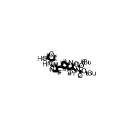 CC(C)c1c(CN(C(=O)OC(C)(C)C)C(=O)OC(C)(C)C)cnc2ccc(-c3nc(N[C@@H]4CCOC[C@@H]4O)ncc3F)cc12